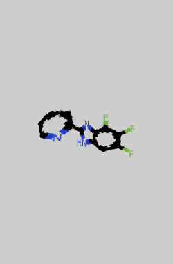 Fc1cc2[nH]c(-c3ccccn3)nc2c(F)c1F